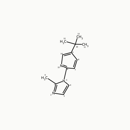 Cc1nccn1-c1ccc(C(C)(C)C)cn1